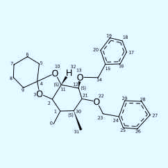 CC1C2OC3(CCCCC3)O[C@@H]2[C@@H](OCc2ccccc2)C(OCc2ccccc2)[C@H]1C